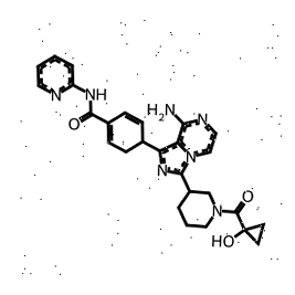 Nc1nccn2c(C3CCCN(C(=O)C4(O)CC4)C3)nc(C3C=CC(C(=O)Nc4ccccn4)=CC3)c12